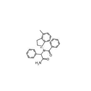 Cc1cccc2c1CC[C@H]2N(C(=O)c1ccccc1)C(C(N)=O)c1ccccc1